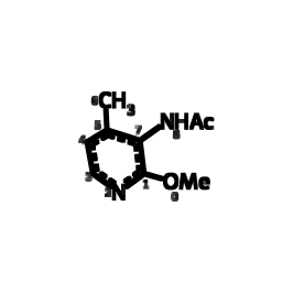 COc1nccc(C)c1NC(C)=O